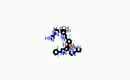 CC1(C)[C@@H]2c3cc(-c4c(F)cccc4F)nnc3[C@@]1(c1ccnc(-c3cccnc3)n1)CC2c1ccc(F)c(-c2cc3c(nn2)[C@@]2(c4ccnc(-c5cn[nH]c5)n4)CC[C@@H]3C2(C)C)c1F